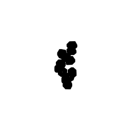 C1=CC2C=c3c(oc4ccccc34)=C(C3=Cc4c(oc5ccc(-c6c7ccccc7c(-c7ccc8ccccc8c7)c7ccccc67)cc45)CC3)C2C=C1